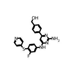 Nc1nc(Nc2ccc(Sc3ccncc3)c(F)c2)cc(-c2ccc(CO)cc2)n1